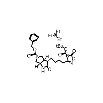 CC(C)(C)OC(=O)n1c(CCCC[C@H]2C(=O)N[C@@H]3CN(C(=O)OCc4ccccc4)C[C@H]32)noc1=O.CCN(CC)CC